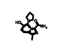 Cc1nc(C(N)=O)n2c(N3CCCC3)c(O)ccc12